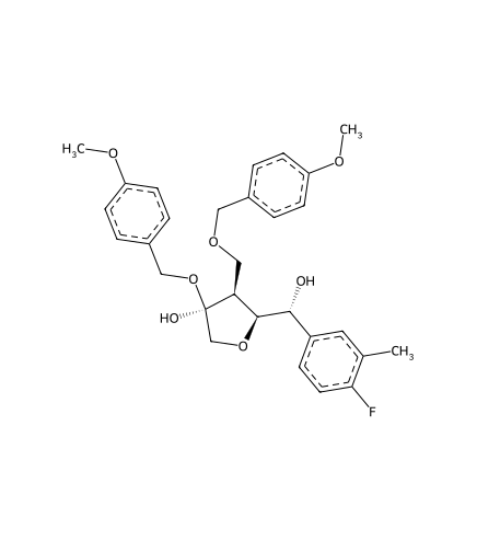 COc1ccc(COC[C@H]2[C@@H]([C@H](O)c3ccc(F)c(C)c3)OC[C@@]2(O)OCc2ccc(OC)cc2)cc1